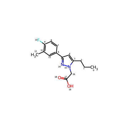 CCCc1cc(-c2ccc(F)c(C)c2)nn1CC(=O)O